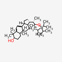 CC(C)[Si](OC[C@@H](C)[C@H]1CC[C@H]2C3=CC=C4C(C)(C)C(O)CC[C@]4(C)[C@H]3CC[C@]12C)(C(C)C)C(C)C